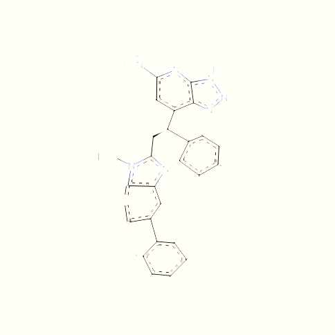 Cn1c(C[C@H](c2ccccc2)c2cc(N)nc3[nH]nnc23)nc2cc(-c3ccccc3)ccc21